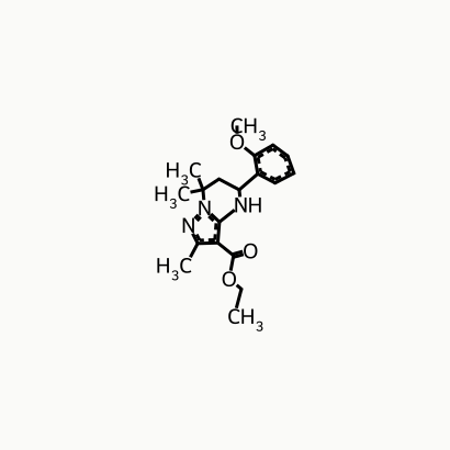 CCOC(=O)c1c(C)nn2c1NC(c1ccccc1OC)CC2(C)C